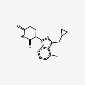 Cc1cccc2c(C3CCC(=O)NC3=O)nn(CC3CC3)c12